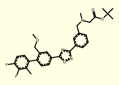 COCc1cc(-c2nc(-c3cccc(CN(C)CC(=O)OC(C)(C)C)c3)no2)ccc1-c1ccc(F)c(F)c1C